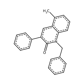 Cc1cccc2c1cc(-c1ccccc1)c(=O)n2Cc1ccccc1